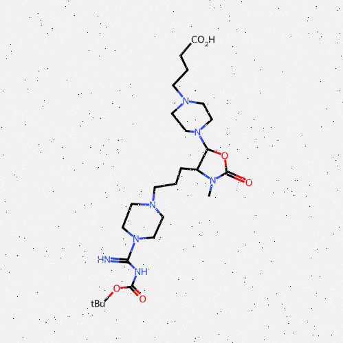 CN1C(=O)OC(N2CCN(CCCC(=O)O)CC2)C1CCCN1CCN(C(=N)NC(=O)OC(C)(C)C)CC1